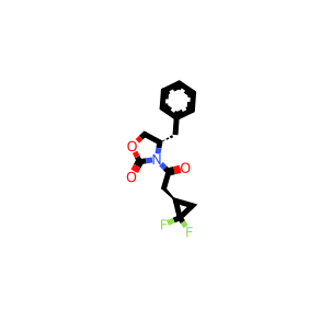 O=C(C[C@H]1CC1(F)F)N1C(=O)OC[C@@H]1Cc1ccccc1